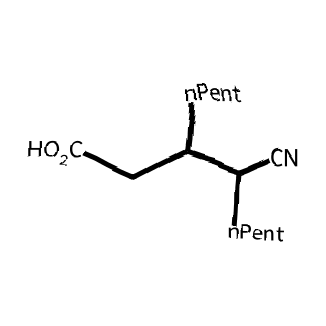 CCCCCC(C#N)C(CCCCC)CC(=O)O